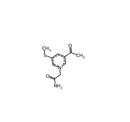 CSc1cc(C(C)=O)c[n+](CC(N)=O)c1